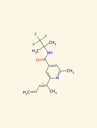 C=C/C=C(\C)c1cc(C(=O)NC(C)(C)C(F)(F)F)cc(C)n1